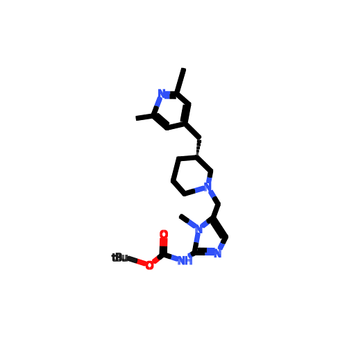 Cc1cc(C[C@H]2CCCN(Cc3cnc(NC(=O)OC(C)(C)C)n3C)C2)cc(C)n1